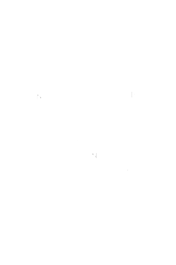 N#CC1=C(Cl)N=C(Cl)CC(Br)=C1